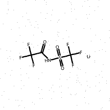 O=C(NS(=O)(=O)C(F)(F)F)C(F)(F)F.[Li]